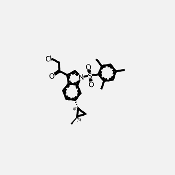 Cc1cc(C)c(S(=O)(=O)n2cc(C(=O)CCl)c3ccc([C@@H]4C[C@H]4C)cc32)c(C)c1